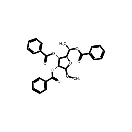 COC1O[C@H]([C@@H](C)OC(=O)c2ccccc2)[C@@H](OC(=O)c2ccccc2)[C@H]1OC(=O)c1ccccc1